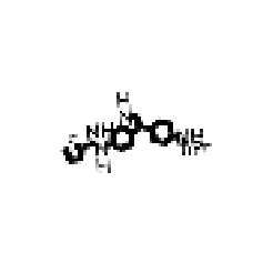 CCCN[C@H]1CC=C(c2c[nH]c3cc(NC(=N)c4cccs4)ccc23)CC1